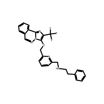 FC(F)(F)c1nc2c3ccccc3cnn2c1OCc1cccc(CNCCc2ccccc2)n1